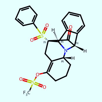 O=C1[C@@H]2c3ccccc3[C@H]3N2[C@@H]2CCCC(OS(=O)(=O)C(F)(F)F)=C2C[C@@]13S(=O)(=O)c1ccccc1